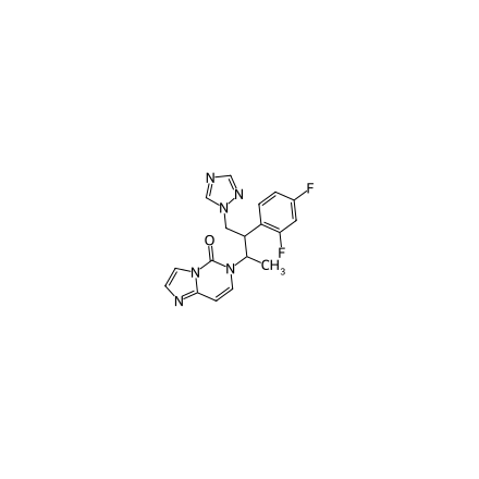 CC(C(Cn1cncn1)c1ccc(F)cc1F)n1ccc2nccn2c1=O